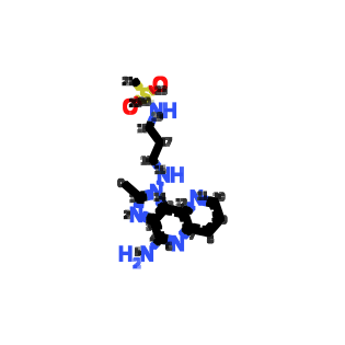 Cc1nc2c(N)nc3cccnc3c2n1NCCCNS(C)(=O)=O